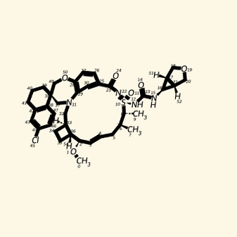 CO[C@H]1/C=C/C[C@H](C)[C@@H](C)[S@@](=O)(NC(=O)N[C@H]2[C@@H]3COC[C@@H]32)=NC(=O)c2ccc3c(c2)N(C[C@@H]2CC[C@H]21)C[C@@]1(CCCc2cc(Cl)ccc21)CO3